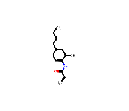 C=CC(=O)NC1=CCC(CCCC)CC1C